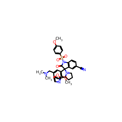 COc1ccc(S(=O)(=O)N2C(=O)C(c3cc(CN(C)C)ccc3OC)(N3CCCC3c3ncco3)c3cc(C#N)ccc32)cc1